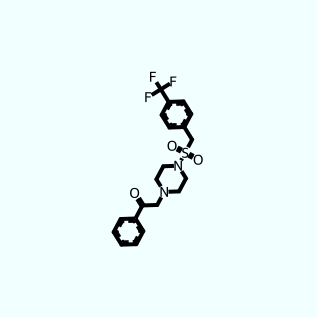 O=C(CN1CCN(S(=O)(=O)Cc2ccc(C(F)(F)F)cc2)CC1)c1ccccc1